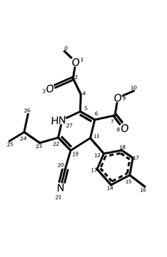 COC(=O)CC1=C(C(=O)OC)C(c2ccc(C)cc2)C(C#N)=C(CC(C)C)N1